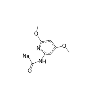 COc1cc(N[C](=O)[Na])nc(OC)c1